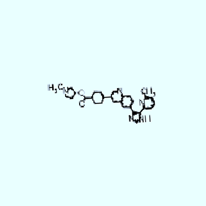 Cc1cccc(-c2[nH]cnc2-c2ccc3ncc(C4=CCC(C(=O)O[C@@H]5CCN(C)C5)CC4)cc3c2)n1